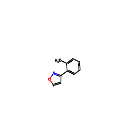 Cc1ccccc1-c1c[c]on1